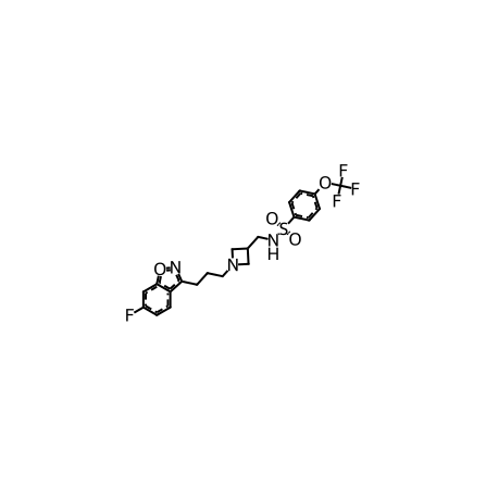 O=S(=O)(NCC1CN(CCCc2noc3cc(F)ccc23)C1)c1ccc(OC(F)(F)F)cc1